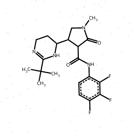 CN1CC(C2CCN=C(C(C)(C)C)N2)C(C(=O)Nc2ccc(F)c(F)c2F)C1=O